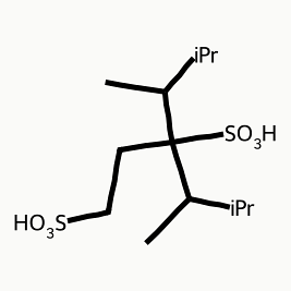 CC(C)C(C)C(CCS(=O)(=O)O)(C(C)C(C)C)S(=O)(=O)O